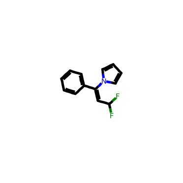 FC(F)/C=C(/c1ccccc1)n1cccc1